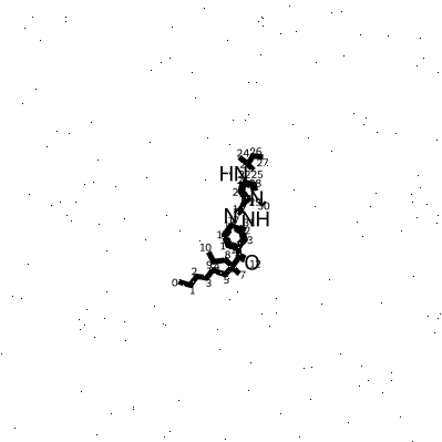 CCCCCCC(C)(CCC)C(=O)c1ccc2nc(-c3cc(NC(C)(C)CC)cn3C)[nH]c2c1